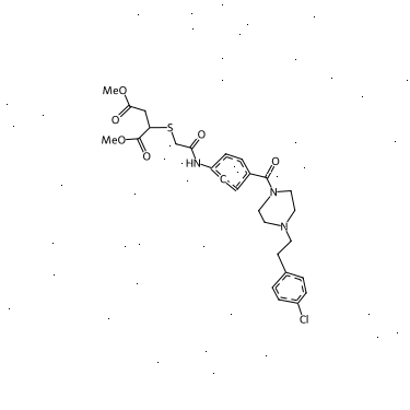 COC(=O)CC(SCC(=O)Nc1ccc(C(=O)N2CCN(CCc3ccc(Cl)cc3)CC2)cc1)C(=O)OC